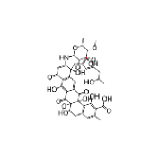 CO[C@@H]1[C@@H](O)[C@@H](OC)[C@@H](NC2=CC(=O)c3c(cc4c(c3O)C(=O)C3(OC)C(O)Cc5cc(C)c(C(=O)O)c(O)c5C3(O)C4=O)C2(O)Cc2coc(CC(C)O)c2)O[C@H]1C